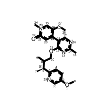 COc1ccc([C@@H](C)C(C)COc2nc(C)ncc2-c2cc(=O)n(C)cc2SC)nc1